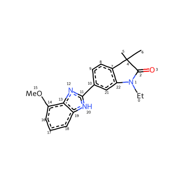 CCN1C(=O)C(C)(C)c2ccc(-c3nc4c(OC)cccc4[nH]3)cc21